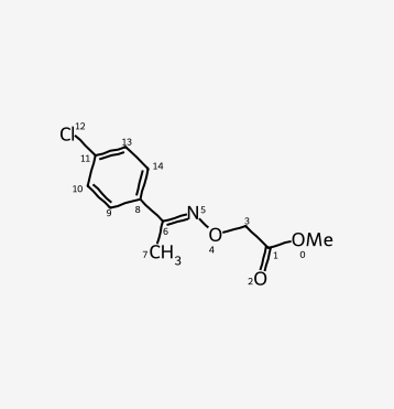 COC(=O)CON=C(C)c1ccc(Cl)cc1